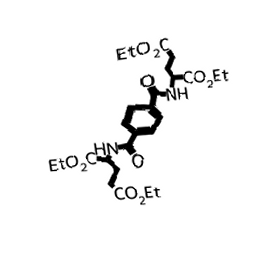 CCOC(=O)CCC(NC(=O)c1ccc(C(=O)NC(CCC(=O)OCC)C(=O)OCC)cc1)C(=O)OCC